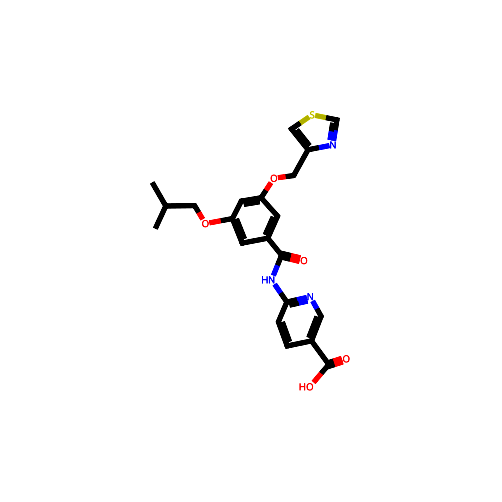 CC(C)COc1cc(OCc2cscn2)cc(C(=O)Nc2ccc(C(=O)O)cn2)c1